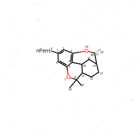 CCCCCc1cc2c3c(c1)OC(C)(C)C1CCC(CC31)[C@@H](C)O2